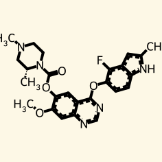 COc1cc2ncnc(Oc3ccc4[nH]c(C)cc4c3F)c2cc1OC(=O)N1CCN(C)C[C@H]1C